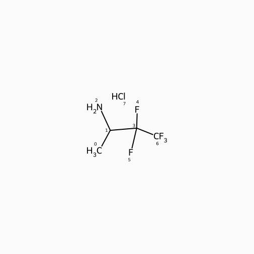 CC(N)C(F)(F)C(F)(F)F.Cl